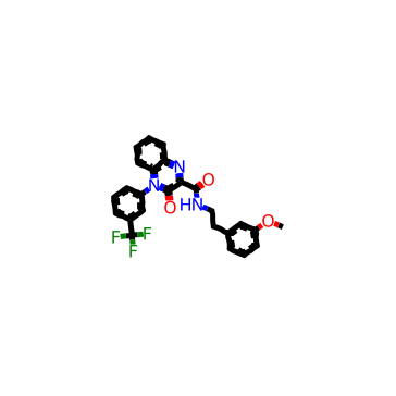 COc1cccc(CCNC(=O)c2nc3ccccc3n(-c3cccc(C(F)(F)F)c3)c2=O)c1